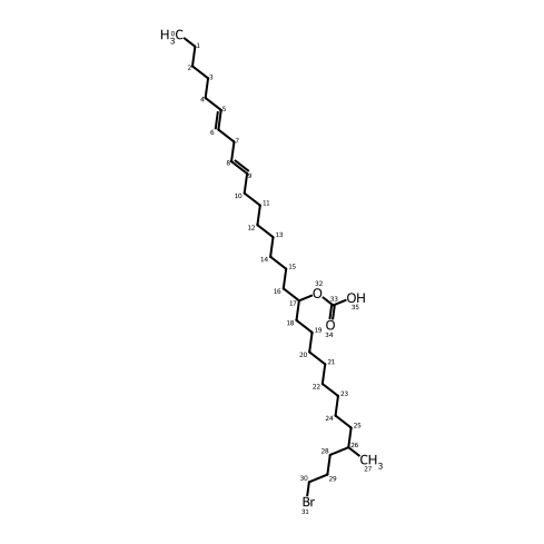 CCCCCC=CCC=CCCCCCCCC(CCCCCCCCC(C)CCCBr)OC(=O)O